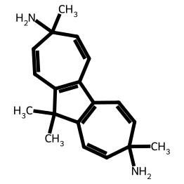 CC1(N)C=CC2=C(C=C1)C(C)(C)C1=C2C=CC(C)(N)C=C1